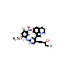 CCC(O)C#Cc1cnc(Nc2cc([N+](=O)[O-])c(F)cc2OC)nc1-c1cn2c3c(cccc13)CCC2